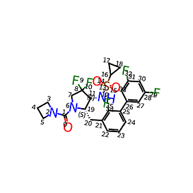 O=C(N1CCC1)N1CC(F)(F)[C@H](NS(=O)(=O)C2CC2)[C@@H]1Cc1cccc(-c2cc(F)cc(F)c2)c1F